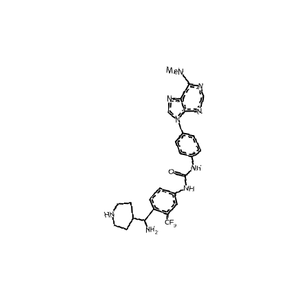 CNc1ncnc2c1ncn2-c1ccc(NC(=O)Nc2ccc(C(N)C3CCNCC3)c(C(F)(F)F)c2)cc1